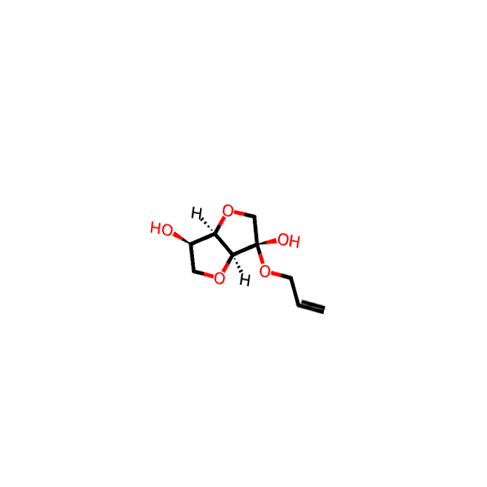 C=CCO[C@@]1(O)CO[C@@H]2[C@H](O)CO[C@@H]21